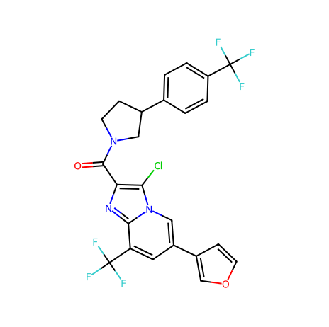 O=C(c1nc2c(C(F)(F)F)cc(-c3ccoc3)cn2c1Cl)N1CCC(c2ccc(C(F)(F)F)cc2)C1